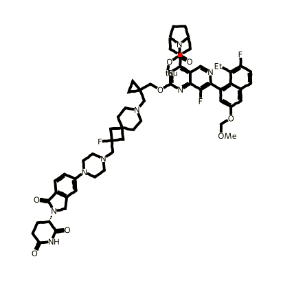 CCc1c(F)ccc2cc(OCOC)cc(-c3ncc4c(N5CC6CCC(C5)N6C(=O)OC(C)(C)C)nc(OCC5(CN6CCC7(CC6)CC(F)(CN6CCN(c8ccc9c(c8)CN([C@H]8CCC(=O)NC8=O)C9=O)CC6)C7)CC5)nc4c3F)c12